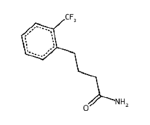 NC(=O)CCCc1ccccc1C(F)(F)F